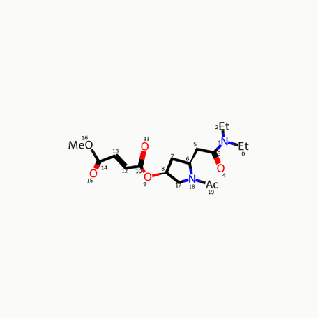 CCN(CC)C(=O)C[C@@H]1C[C@H](OC(=O)/C=C/C(=O)OC)CN1C(C)=O